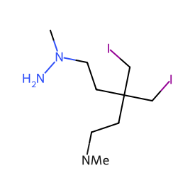 CNCCC(CI)(CI)CCN(C)N